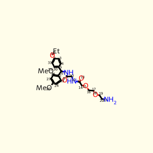 CCOc1ccc(C(NC(=O)CNC(=O)COCCOCCN)c2ccc(OC)cc2OC)cc1